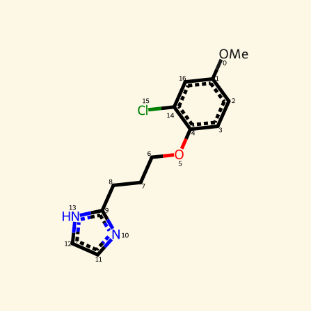 COc1ccc(OCCCc2ncc[nH]2)c(Cl)c1